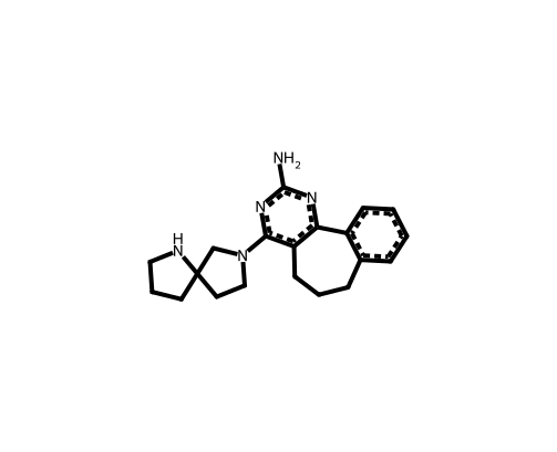 Nc1nc2c(c(N3CCC4(CCCN4)C3)n1)CCCc1ccccc1-2